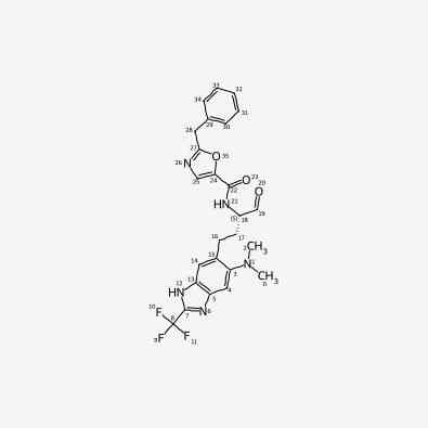 CN(C)c1cc2nc(C(F)(F)F)[nH]c2cc1CC[C@@H](C=O)NC(=O)c1cnc(Cc2ccccc2)o1